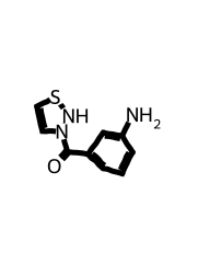 Nc1cccc(C(=O)N2C=CSN2)c1